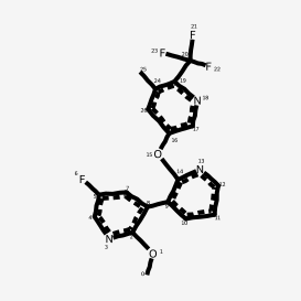 COc1ncc(F)cc1-c1cccnc1Oc1cnc(C(F)(F)F)c(C)c1